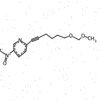 COCOCCCCC#Cc1ccc([N+](=O)[O-])cn1